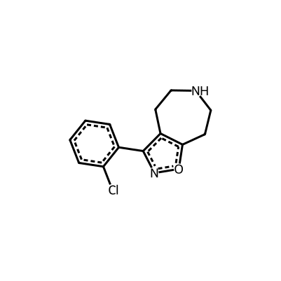 Clc1ccccc1-c1noc2c1CCNCC2